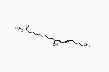 CCCCCC#CC=CC(O)CCCCCCCCC(=O)OC